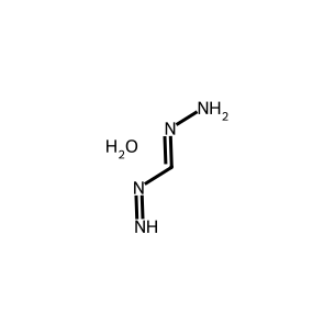 N=NC=NN.O